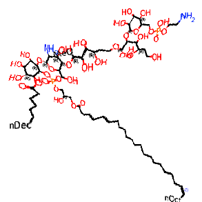 CCCCCCCC/C=C\CCCCCCCCCCCCCCCCCCCC(=O)OC[C@@H](O)COP(=O)(O)OC1C(OC(=O)CCCCCCCCCCCCCCC)[C@H](O)C(O)C(O)[C@H]1O[C@H]1OC(CO)[C@@H](O[C@@H](OC)C(O)C(O)[C@H](O)CCO[C@@H](O)C(O[C@H]2OC(COP(=O)(O)OCCN)[C@H](O)C(O)C2O)C(O)[C@H](O)CCO)[C@H](O)C1N